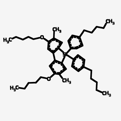 CCCCCOc1cc2c(cc1C)[Si](c1ccc(CCCCC)cc1)(c1ccc(CCCCC)cc1)c1cc(C)c(OCCCCC)cc1-2